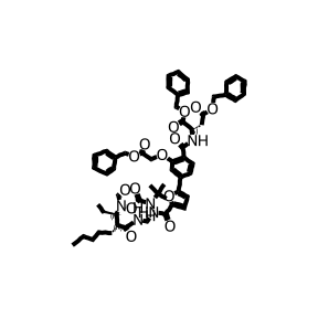 CCCCC[C@@H](C(=O)NCNC(=O)c1ccc(-c2ccc(C(=O)N[C@@H](CC(=O)OCc3ccccc3)C(=O)OCc3ccccc3)c(OCC(=O)OCc3ccccc3)c2)o1)[C@@H](CC)N(C=O)OC(=O)NC(C)(C)C